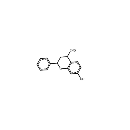 O=CC1CC(c2ccccc2)Oc2cc(O)ccc21